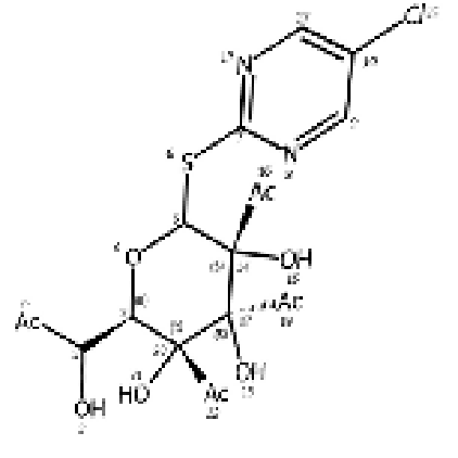 CC(=O)C(O)[C@H]1OC(Sc2ncc(Cl)cn2)[C@@](O)(C(C)=O)[C@](O)(C(C)=O)[C@@]1(O)C(C)=O